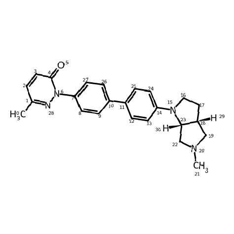 Cc1ccc(=O)n(-c2ccc(-c3ccc(N4CC[C@@H]5CN(C)C[C@@H]54)cc3)cc2)n1